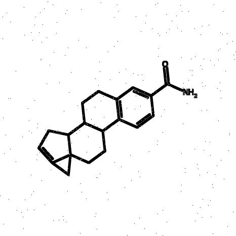 NC(=O)c1ccc2c(c1)CCC1C2CCC23CC2=CCC13